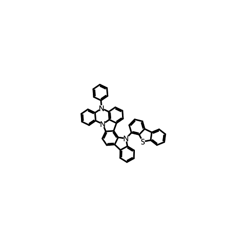 c1ccc(N2c3ccccc3-n3c4ccc5c6ccccc6n(-c6cccc7c6sc6ccccc67)c5c4c4cccc2c43)cc1